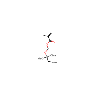 C=C(C)C(=O)OCO[Si](CCCCCCCCCC)(OC)OC